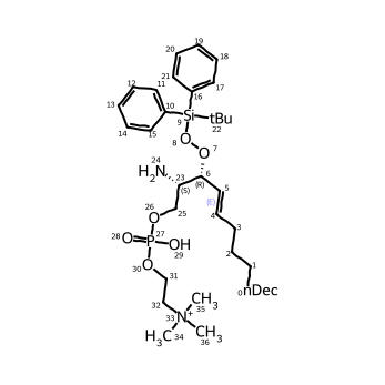 CCCCCCCCCCCCC/C=C/[C@@H](OO[Si](c1ccccc1)(c1ccccc1)C(C)(C)C)[C@@H](N)COP(=O)(O)OCC[N+](C)(C)C